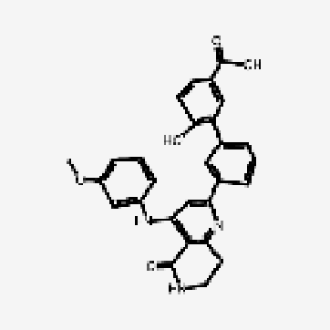 COc1cccc(Nc2cc(-c3cccc(-c4cc(C(=O)O)ccc4O)c3)nc3c2C(=O)NCC3)c1